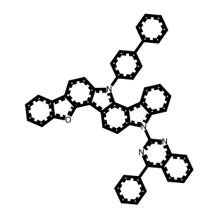 c1ccc(-c2ccc(-n3c4ccc5c6ccccc6oc5c4c4ccc5c(c6ccccc6n5-c5nc(-c6ccccc6)c6ccccc6n5)c43)cc2)cc1